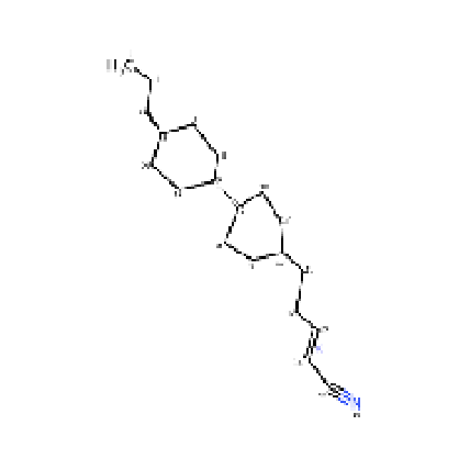 CCC[C@H]1CC[C@H](C2CCC(CC/C=C/C#N)CC2)CC1